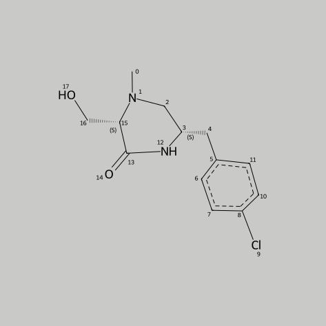 CN1C[C@H](Cc2ccc(Cl)cc2)NC(=O)[C@@H]1CO